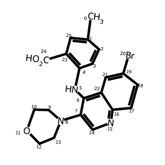 Cc1ccc(Nc2c(N3CCOCC3)cnc3ccc(Br)cc23)c(C(=O)O)c1